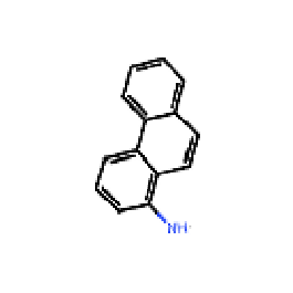 [NH]c1cccc2c1ccc1ccccc12